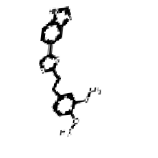 COc1ccc(CCc2ncc(-c3ccc4[nH]cnc4c3)s2)cc1OC